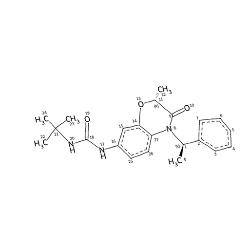 C[C@H](c1ccccc1)N1C(=O)[C@@H](C)Oc2cc(NC(=O)NC(C)(C)C)ccc21